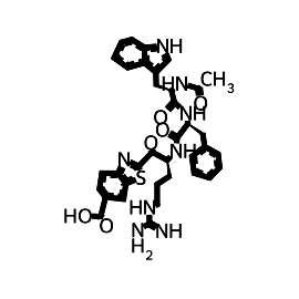 CC(=O)N[C@H](Cc1c[nH]c2ccccc12)C(=O)N[C@@H](Cc1ccccc1)C(=O)N[C@@H](CCCNC(=N)N)C(=O)c1nc2ccc(C(=O)O)cc2s1